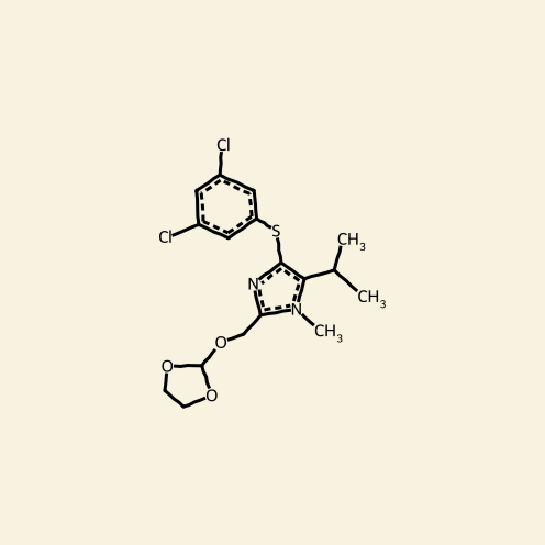 CC(C)c1c(Sc2cc(Cl)cc(Cl)c2)nc(COC2OCCO2)n1C